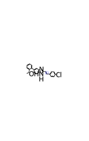 CC(O)c1ccccc1-c1ccc2[nH]c(/C=C/c3ccc(Cl)cc3)nc2c1